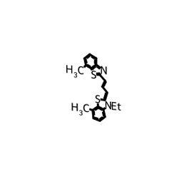 CCN1/C(=C/C=C/c2nc3cccc(C)c3s2)Sc2c(C)cccc21